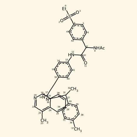 CCS(=O)(=O)c1ccc(C(NC(C)=O)C(=O)Nc2ccc(C3N=C4N=CC(C)=C5C=CC=CC45N3C(C)c3ccc(C)cc3)cc2)cc1